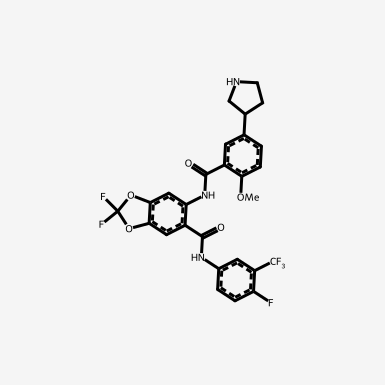 COc1ccc(C2CCNC2)cc1C(=O)Nc1cc2c(cc1C(=O)Nc1ccc(F)c(C(F)(F)F)c1)OC(F)(F)O2